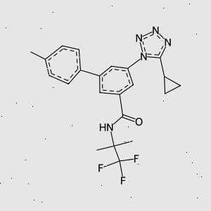 Cc1ccc(-c2cc(C(=O)NC(C)(C)C(F)(F)F)cc(-n3nnnc3C3CC3)c2)cc1